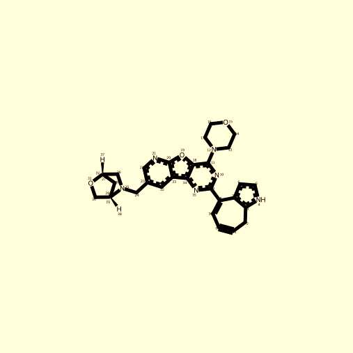 C1#CCc2[nH]ccc2C(c2nc(N3CCOCC3)c3oc4ncc(CN5C[C@@H]6C[C@H]5CO6)cc4c3n2)=C1